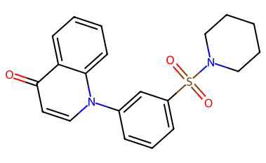 O=c1ccn(-c2cccc(S(=O)(=O)N3CCCCC3)c2)c2ccccc12